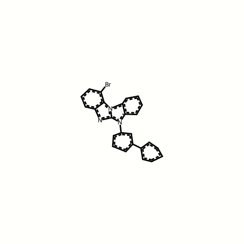 Brc1cccc2nc3n(-c4cccc(-c5ccccc5)c4)c4ccccc4n3c12